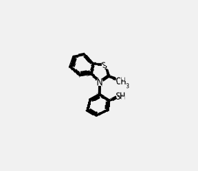 CC1Sc2ccccc2N1c1ccccc1S